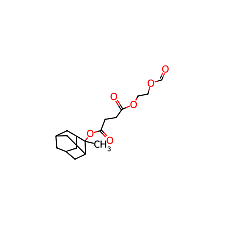 CC1(OC(=O)CCC(=O)OCCOC=O)C2CC3CC(C2)CC1C3